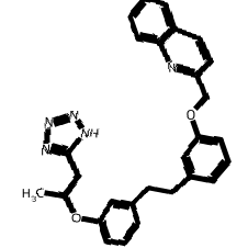 CC(Cc1nnn[nH]1)Oc1cccc(CCc2cccc(OCc3ccc4ccccc4n3)c2)c1